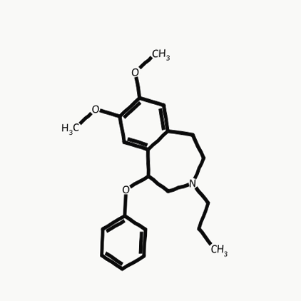 CCCN1CCc2cc(OC)c(OC)cc2C(Oc2ccccc2)C1